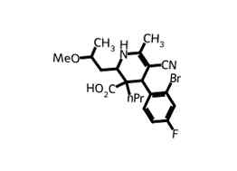 CCCC1(C(=O)O)C(CC(C)OC)NC(C)=C(C#N)C1c1ccc(F)cc1Br